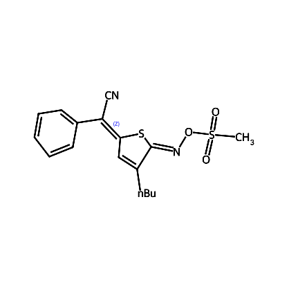 CCCCC1=C/C(=C(/C#N)c2ccccc2)SC1=NOS(C)(=O)=O